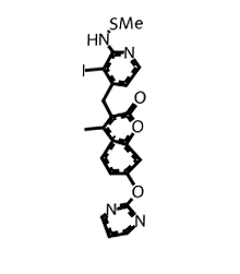 CSNc1nccc(Cc2c(C)c3ccc(Oc4ncccn4)cc3oc2=O)c1I